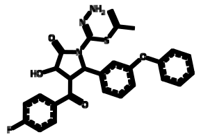 C=C(C)S/C(=N\N)N1C(=O)C(O)C(C(=O)c2ccc(F)cc2)C1c1cccc(Oc2ccccc2)c1